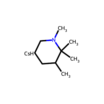 CC1CCCN(C)C1(C)C.[CsH]